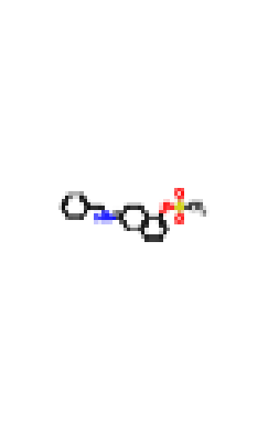 O=S(=O)(Oc1cccc2c1CC[C@H](NCc1ccccc1)C2)C(F)(F)F